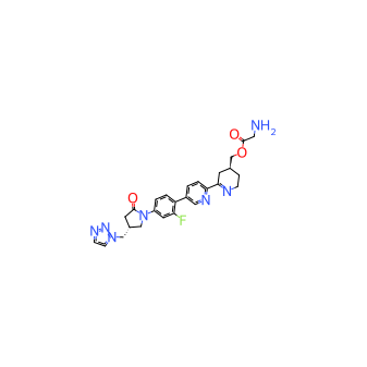 NCC(=O)OC[C@H]1CCN=C(c2ccc(-c3ccc(N4C[C@H](Cn5ccnn5)CC4=O)cc3F)cn2)C1